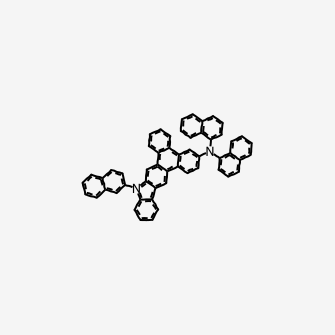 c1ccc2cc(-n3c4ccccc4c4cc5c6ccc(N(c7cccc8ccccc78)c7cccc8ccccc78)cc6c6ccccc6c5cc43)ccc2c1